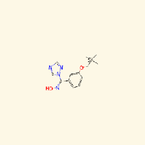 C[Si](C)(C)COc1cccc(C(=NO)n2cncn2)c1